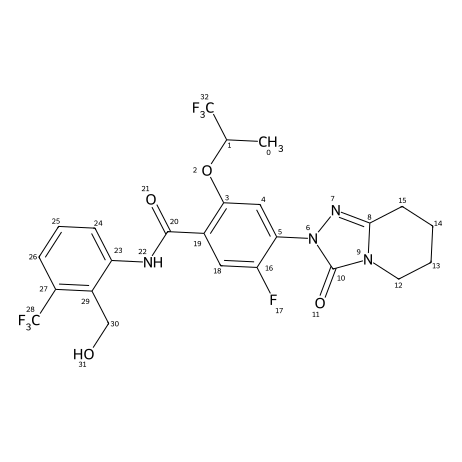 CC(Oc1cc(-n2nc3n(c2=O)CCCC3)c(F)cc1C(=O)Nc1cccc(C(F)(F)F)c1CO)C(F)(F)F